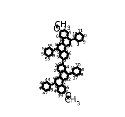 COc1ccc2c(-c3ccccc3)cc3c4ccc(-c5ccc6c(c5)c(-c5ccccc5)cc5c7cc(OC)ccc7c(-c7ccccc7)cc65)cc4c(-c4ccccc4)cc3c2c1